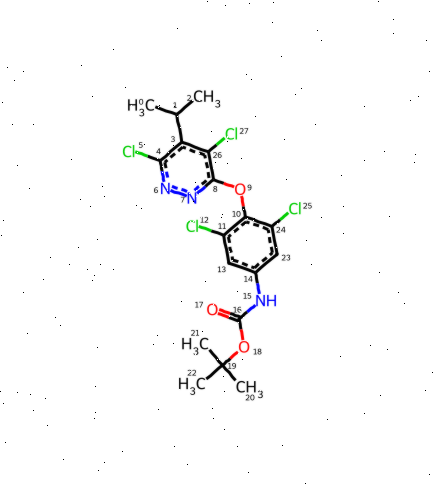 CC(C)c1c(Cl)nnc(Oc2c(Cl)cc(NC(=O)OC(C)(C)C)cc2Cl)c1Cl